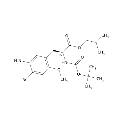 COc1cc(Br)c(N)cc1C[C@H](NC(=O)OC(C)(C)C)C(=O)OCC(C)C